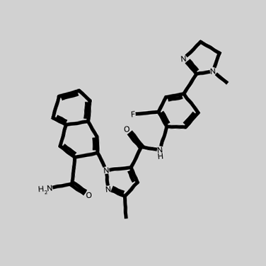 Cc1cc(C(=O)Nc2ccc(C3=NCCN3C)cc2F)n(-c2cc3ccccc3cc2C(N)=O)n1